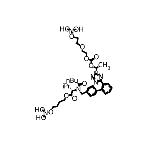 CCCCC(=O)N(Cc1ccc(-c2ccccc2-c2nnn(C(C)OC(=O)OCCOCCON(O)O)n2)cc1)[C@H](C(=O)OCCCCON(O)O)C(C)C